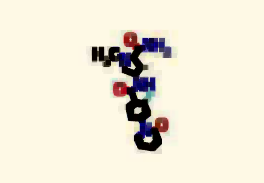 CN1CC(NC(=O)c2ccc(-n3ccccc3=O)cc2F)[CH]C1C(N)=O